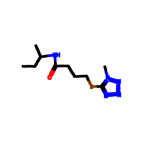 CCC(C)NC(=O)CCCSc1nnnn1C